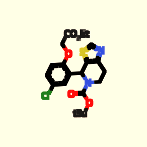 CCOC(=O)COc1ccc(Cl)cc1C1c2scnc2CCN1C(=O)OC(C)(C)C